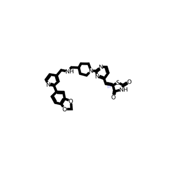 O=C1NC(=O)/C(=C/c2ccnc(N3CCC(CNCc4ccnc(-c5ccc6c(c5)OCO6)c4)CC3)n2)S1